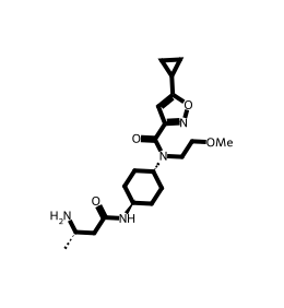 COCCN(C(=O)c1cc(C2CC2)on1)[C@H]1CC[C@H](NC(=O)C[C@H](C)N)CC1